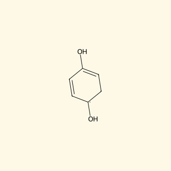 O[C]1C=CC(O)=CC1